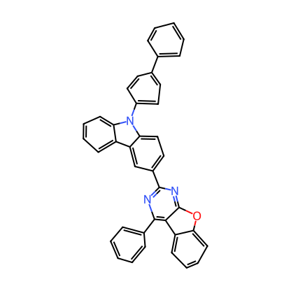 c1ccc(-c2ccc(-n3c4ccccc4c4cc(-c5nc(-c6ccccc6)c6c(n5)oc5ccccc56)ccc43)cc2)cc1